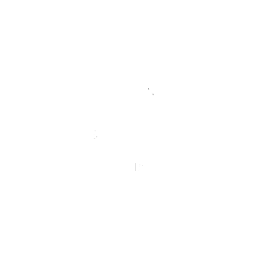 Brc1cccs1.C#N